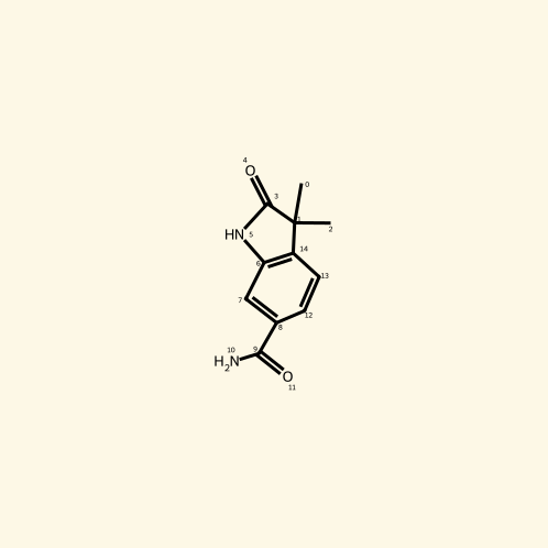 CC1(C)C(=O)Nc2cc(C(N)=O)ccc21